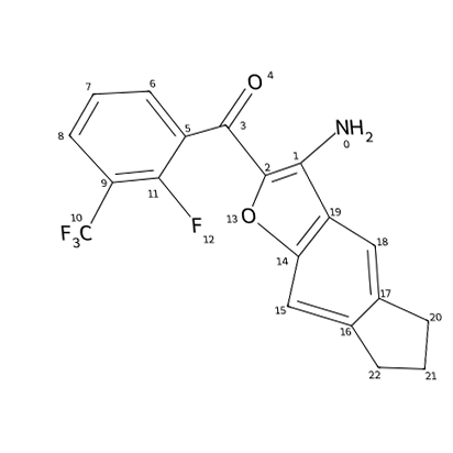 Nc1c(C(=O)c2cccc(C(F)(F)F)c2F)oc2cc3c(cc12)CCC3